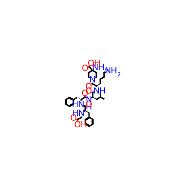 CC(C)C[C@@H](NC(=O)[C@@H](Cc1ccccc1)NC(=O)[C@@H](Cc1ccccc1)NCC(=O)O)C(=O)N[C@H](CCCCN)C(=O)N1CCC(N)(C(=O)O)CC1